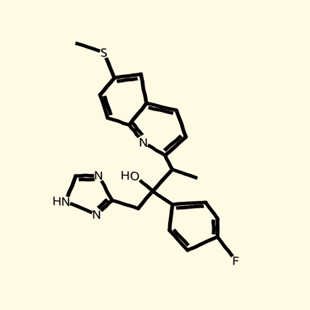 CSc1ccc2nc(C(C)C(O)(Cc3nc[nH]n3)c3ccc(F)cc3)ccc2c1